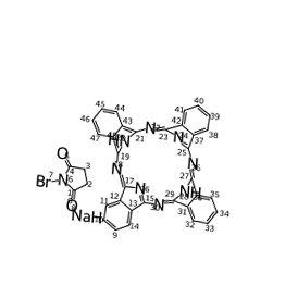 O=C1CCC(=O)N1Br.[NaH].c1ccc2c(c1)-c1nc-2nc2[nH]c(nc3nc(nc4[nH]c(n1)c1ccccc41)-c1ccccc1-3)c1ccccc21